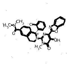 CN(C)C(=O)c1ccc2c(c1)CCN(c1nc(-c3nc4ccccc4o3)c(O)c(=O)n1C)[C@H]2c1ccccc1Cl